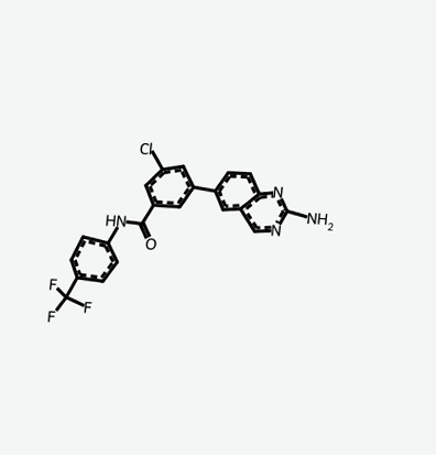 Nc1ncc2cc(-c3cc(Cl)cc(C(=O)Nc4ccc(C(F)(F)F)cc4)c3)ccc2n1